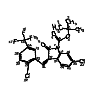 CC(C)(C)OC(=O)N1C(=O)C(=Cc2cc(C(F)(F)F)ccc2Cl)c2ccc(Cl)cc21